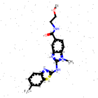 CCOCCNC(=O)c1ccc2c(c1)nc(Nc1nc3ccc(C(F)(F)F)cc3s1)n2C